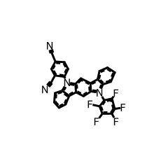 N#Cc1ccc(-n2c3ccccc3c3cc4c(cc32)c2ccccc2n4-c2c(F)c(F)c(F)c(F)c2F)c(C#N)c1